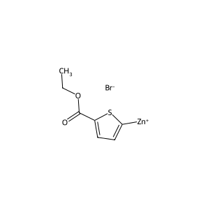 CCOC(=O)c1cc[c]([Zn+])s1.[Br-]